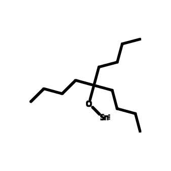 CCCCC(CCCC)(CCCC)[O][Sn]